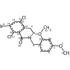 COc1ccc(CN2CCc3c(Cl)cc(Br)c(Cl)c3C2=O)c(OC)c1